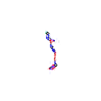 C=CC(=O)Nc1cc2c(Nc3ccc(F)c(Cl)c3)ncnc2cc1OCCCN1CCC(N2CCN(C(=O)CCOCCOCCNc3cccc4c3C(=O)N(C3CCC(=O)NC3=O)C4=O)CC2)CC1